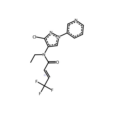 CCN(C(=O)/C=C/C(F)(F)F)c1cn(-c2cccnc2)nc1Cl